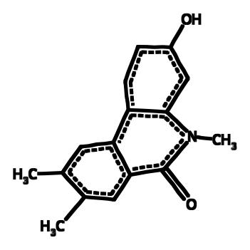 Cc1cc2c(=O)n(C)c3cc(O)ccc3c2cc1C